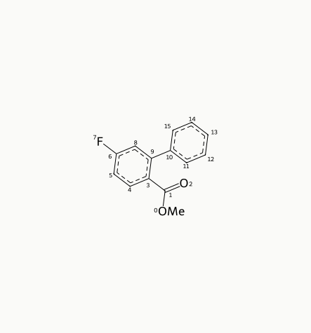 COC(=O)c1ccc(F)cc1-c1ccccc1